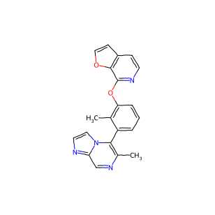 Cc1ncc2nccn2c1-c1cccc(Oc2nccc3ccoc23)c1C